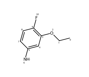 CCOc1cc([NH])ccc1F